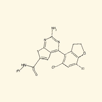 CCCNC(=O)c1cc2c(-c3c(Cl)cc(Cl)c4c3CCO4)nc(N)nc2s1